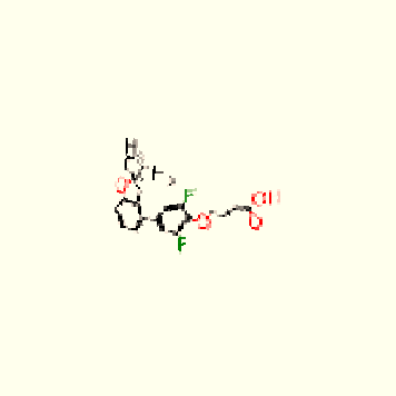 CC1(C)Cc2c(cccc2-c2cc(F)c(OCCCC(=O)O)c(F)c2)O1